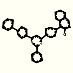 Clc1ccc2ccccc2c1-c1ccc(-c2cc(-c3ccc(-c4ccccc4)cc3)nc(-c3ccccc3)n2)cc1